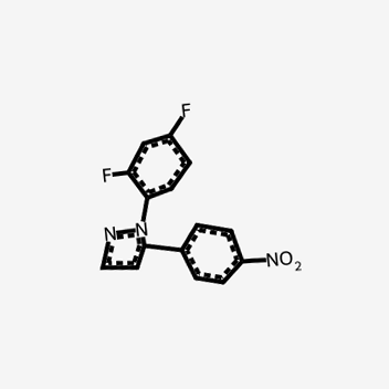 O=[N+]([O-])c1ccc(-c2ccnn2-c2ccc(F)cc2F)cc1